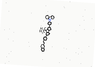 CC1(C)c2cc(-c3ccc(/C=C/C4=Cc5ccccc5CC4)cc3)ccc2-c2ccc(-c3ccc(N4C5=C(C=CCC5)C5=CC=CCC54)cc3)cc21